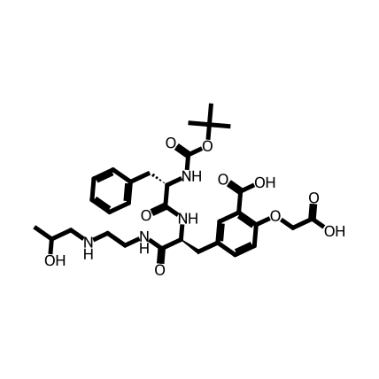 CC(O)CNCCNC(=O)[C@H](Cc1ccc(OCC(=O)O)c(C(=O)O)c1)NC(=O)[C@H](Cc1ccccc1)NC(=O)OC(C)(C)C